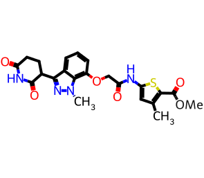 COC(=O)c1sc(NC(=O)COc2cccc3c(C4CCC(=O)NC4=O)nn(C)c23)cc1C